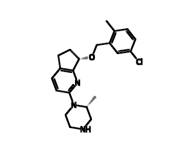 Cc1ccc(Cl)cc1CO[C@H]1CCc2ccc(N3CCNC[C@H]3C)nc21